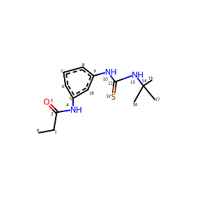 CCC(=O)Nc1cccc(NC(=S)NC(C)(C)C)c1